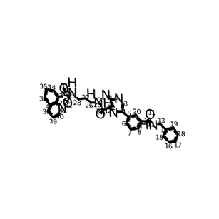 Nc1ncc(-c2cccc(C(=O)NCc3ccccc3)c2)nc1C(=O)NCCCNS(=O)(=O)c1cccc2cccnc12